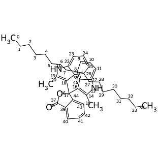 CCCCCCCCc1cccc2[nH]c(C)c(C3(c4c(C)[nH]c5cccc(CCCCCCCC)c45)OC(=O)c4ccccc43)c12